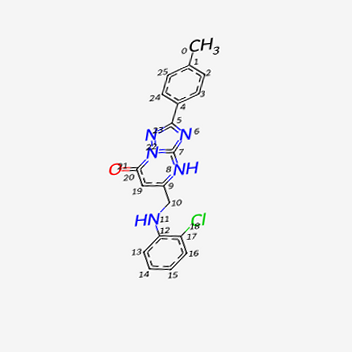 Cc1ccc(-c2nc3[nH]c(CNc4ccccc4Cl)cc(=O)n3n2)cc1